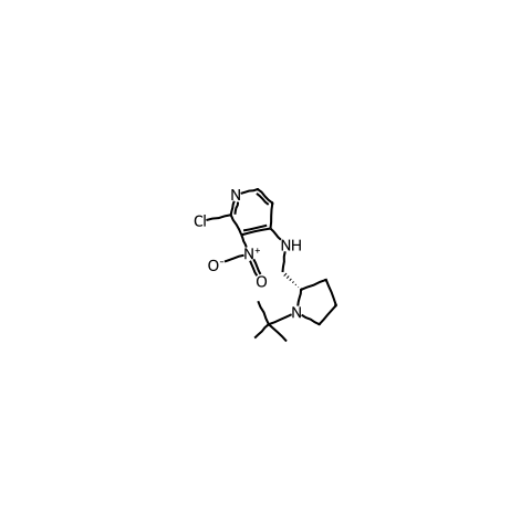 CC(C)(C)N1CCC[C@H]1CNc1ccnc(Cl)c1[N+](=O)[O-]